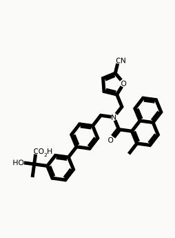 Cc1ccc2ccccc2c1C(=O)N(Cc1ccc(-c2cccc(C(C)(O)C(=O)O)c2)cc1)Cc1ccc(C#N)o1